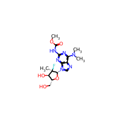 COC(=O)Nc1nc(N(C)C)c2ncn([C@@H]3O[C@H](CO)[C@@H](O)[C@@]3(C)F)c2n1